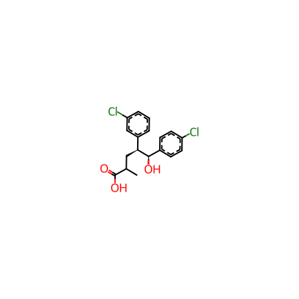 CC(C[C@@H](c1cccc(Cl)c1)[C@H](O)c1ccc(Cl)cc1)C(=O)O